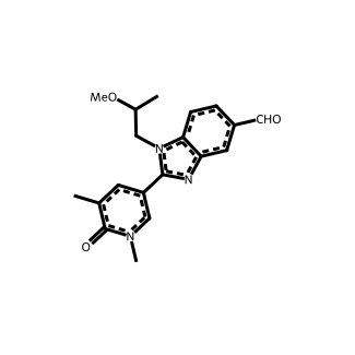 COC(C)Cn1c(-c2cc(C)c(=O)n(C)c2)nc2cc(C=O)ccc21